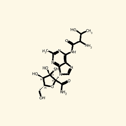 Cc1nc(NC(=O)C(N)C(C)O)c2ncn([C@]3(C(N)=O)O[C@H](CO)[C@@H](O)[C@]3(O)S)c2n1